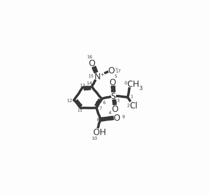 CC(Cl)S(=O)(=O)c1c(C(=O)O)cccc1[N+](=O)[O-]